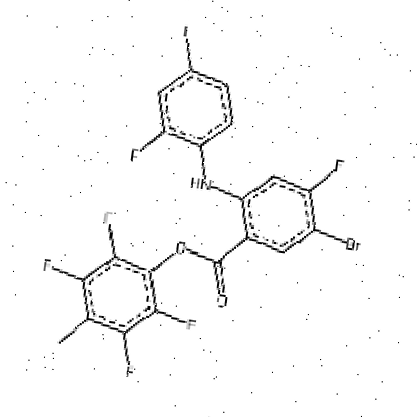 Cc1c(F)c(F)c(OC(=O)c2cc(Br)c(F)cc2Nc2ccc(I)cc2F)c(F)c1F